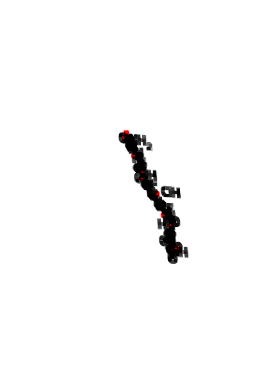 C[C@@H]1OCC2(CCN(c3cnc(Sc4cccc(NC(=O)c5ccc(N6CCC(N7CC=C(c8ccc(C(=O)NCc9ccc%10c(c9)CN(C9CCC(=O)NC9=O)C%10=O)nc8F)CC7)CC6)c(F)c5)c4)cn3)CC2)[C@@H]1N.Cl